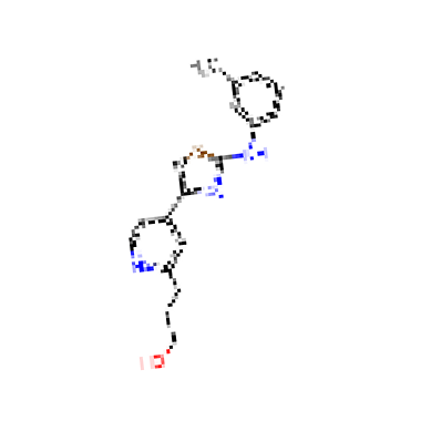 Cc1cccc(Nc2nc(-c3ccnc(CCCO)c3)cs2)c1